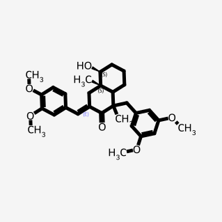 COc1cc(CC2(C)C(=O)/C(=C/c3ccc(OC)c(OC)c3)C[C@@]3(C)C2CCC[C@@H]3O)cc(OC)c1